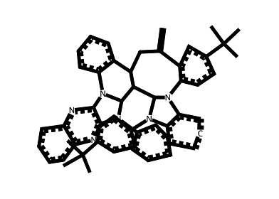 C=C1CC2c3ccccc3N3c4nc5ccccc5nc4N(c4ccccc4)C3C2C2N(c3ccc(C(C)(C)C)cc3)c3ccccc3N2c2ccc(C(C)(C)C)cc21